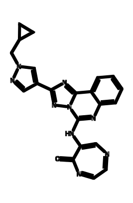 O=c1nccncc1Nc1nc2ccccc2c2nc(-c3cnn(CC4CC4)c3)nn12